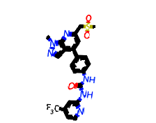 Cn1ncc2c(-c3ccc(NC(=O)Nc4cc(C(F)(F)F)ccn4)cc3)cc(CS(C)(=O)=O)nc21